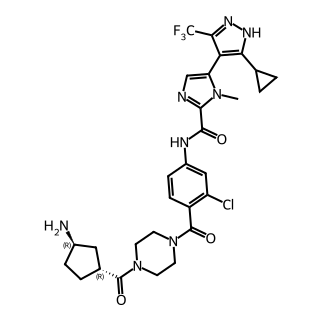 Cn1c(-c2c(C(F)(F)F)n[nH]c2C2CC2)cnc1C(=O)Nc1ccc(C(=O)N2CCN(C(=O)[C@@H]3CC[C@@H](N)C3)CC2)c(Cl)c1